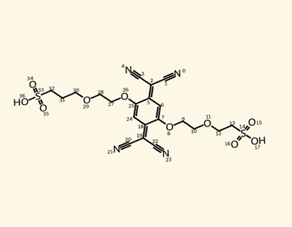 N#CC(C#N)=c1cc(OCCOCCS(=O)(=O)O)c(=C(C#N)C#N)cc1OCCOCCCS(=O)(=O)O